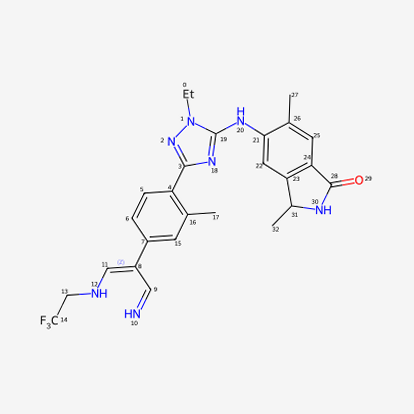 CCn1nc(-c2ccc(/C(C=N)=C/NCC(F)(F)F)cc2C)nc1Nc1cc2c(cc1C)C(=O)NC2C